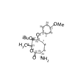 COc1ccc(O[C@H]2CCC[C@H](N)C(=O)O[C@@H](C)[C@@H]2OCC(C)C)cc1